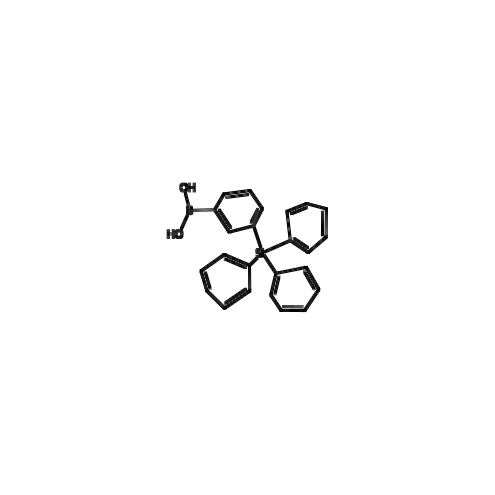 OB(O)c1cccc([Si](c2ccccc2)(c2ccccc2)c2ccccc2)c1